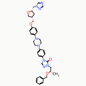 C[C@@H](Cn1ncn(-c2ccc(N3CCN(c4ccc(OC[C@@H]5CO[C@H](Cn6cncn6)C5)cc4)CC3)cc2)c1=O)OCc1ccccc1